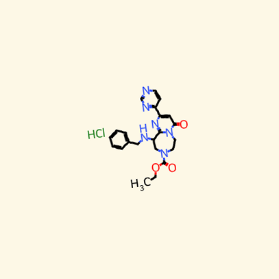 CCOC(=O)N1CCn2c(nc(-c3ccncn3)cc2=O)C(NCc2ccccc2)C1.Cl